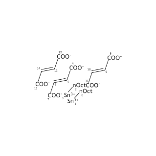 CCCCCCC[CH2][Sn+3].CCCCCCC[CH2][Sn+3].O=C([O-])C=CC(=O)[O-].O=C([O-])C=CC(=O)[O-].O=C([O-])C=CC(=O)[O-]